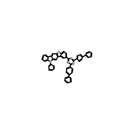 c1ccc(-c2ccc(-c3nc(-c4ccc(-c5ccccc5)cc4)nc(-c4ccc5oc6cc7c8ccccc8n(-c8ccccc8)c7cc6c5c4)n3)cc2)cc1